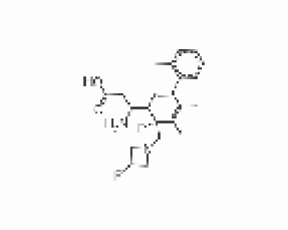 CC1=C(C)C(F)(CN2CC(F)C2)C(C(N)CC(=O)O)C=C1c1ccccc1C